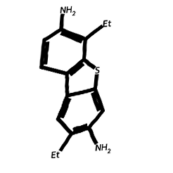 CCc1cc2c(cc1N)sc1c(CC)c(N)ccc12